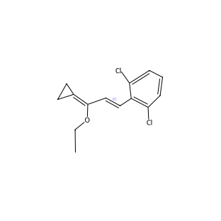 CCOC(/C=C/c1c(Cl)cccc1Cl)=C1CC1